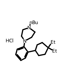 CCCCN1CCN(c2ccccc2C2CCC(CC)(CC)CC2)CC1.Cl